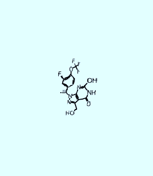 C[C@@H](c1ccc(OC(F)(F)F)c(F)c1)n1nc(CO)c2c(=O)[nH]c(O)nc21